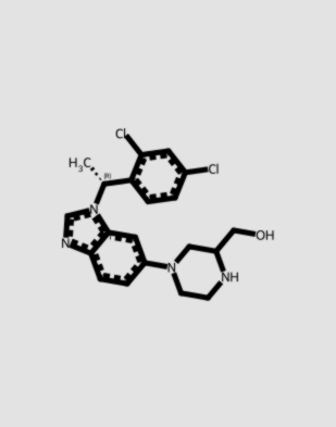 C[C@H](c1ccc(Cl)cc1Cl)n1cnc2ccc(N3CCNC(CO)C3)cc21